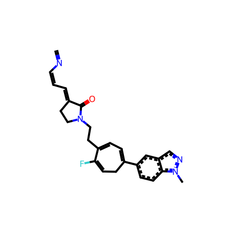 C=N/C=C\C=C1/CCN(CCC2=CC=C(c3ccc4c(cnn4C)c3)CC=C2F)C1=O